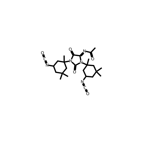 CC(=O)N=C1C(=O)N(C2(C)CC(N=C=O)CC(C)(C)C2)C(=O)N1C1(C)CC(N=C=O)CC(C)(C)C1